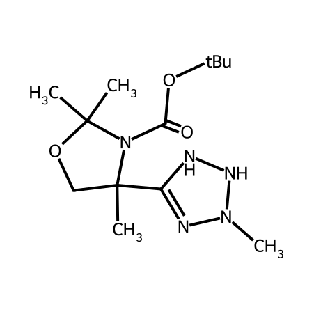 CN1N=C(C2(C)COC(C)(C)N2C(=O)OC(C)(C)C)NN1